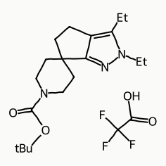 CCc1c2c(nn1CC)C1(CC2)CCN(C(=O)OC(C)(C)C)CC1.O=C(O)C(F)(F)F